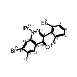 CCc1cccc(F)c1-c1nn(C(C)C)c2cc(Br)c(F)cc2c1=O